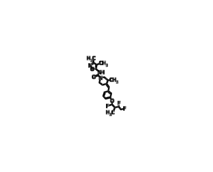 Cc1noc(NC(=O)N2CCC(=Cc3cccc(OC(F)C(C)C(F)CF)c3)C(C)C2)c1C